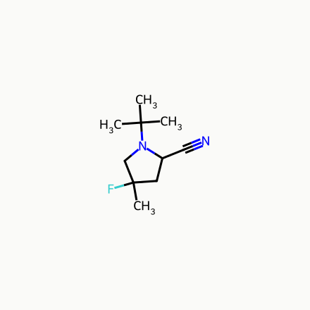 CC1(F)CC(C#N)N(C(C)(C)C)C1